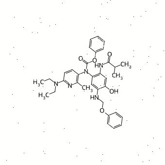 CCN(CC)c1ccc(N(C(=O)Oc2ccccc2)c2cc(NCOc3ccccc3)c(O)cc2NC(=O)C(C)C)c(C)n1